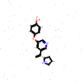 C=C(c1cncc(Oc2ccc(O)cc2)c1)[C@@H]1CCCN1